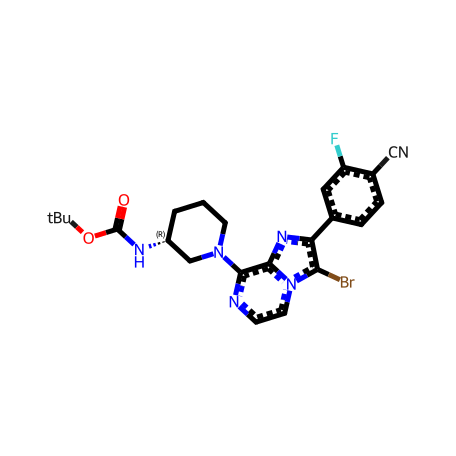 CC(C)(C)OC(=O)N[C@@H]1CCCN(c2nccn3c(Br)c(-c4ccc(C#N)c(F)c4)nc23)C1